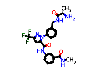 CNC(=O)c1cccc(NC(=O)c2cc(C(F)(F)F)nn2-c2cccc(CNC(=O)[C@H](C)N)c2)c1